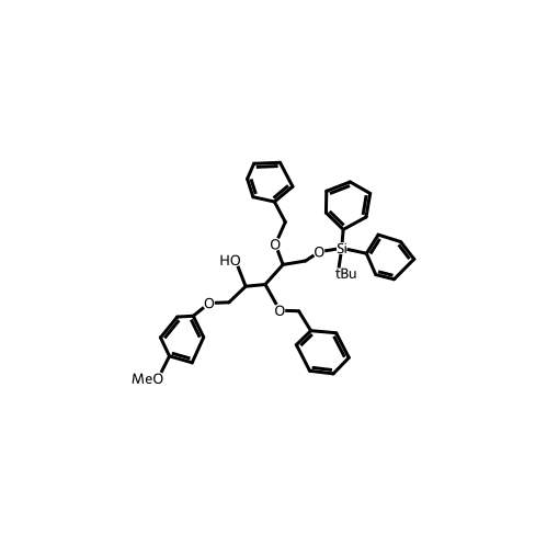 COc1ccc(OCC(O)C(OCc2ccccc2)C(CO[Si](c2ccccc2)(c2ccccc2)C(C)(C)C)OCc2ccccc2)cc1